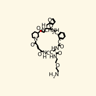 C=CC[C@@]12CCCN(C1)C(=O)/C=C/C(=O)NCC[C@@H](C(=O)NCCOCCN)NC(=O)Cc1ccccc1CNC(=O)[C@H](Cc1ccco1)NC2=O